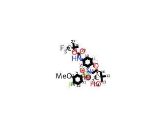 COc1cc(S(=O)(=O)N2C[C@H](C[C@@](C)(CO)C(=O)O)Oc3ccc(NC(=O)OC(C)(C)C(F)(F)F)cc32)ccc1F